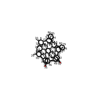 Cc1ccc2c(c1)c1cc(C)ccc1n2-c1c(-c2cccnc2)c(-n2c3ccc(C)cc3c3cc(C)ccc32)c(-n2c3ccc(C)cc3c3cc(C)ccc32)c(-n2c3ccc(C)cc3c3cc(C)ccc32)c1-c1cc(-c2ccccc2)nc(-c2ccccc2)n1